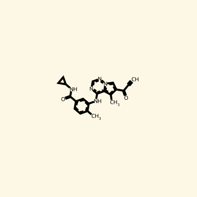 C#CC(=O)c1cn2ncnc(Nc3cc(C(=O)NC4CC4)ccc3C)c2c1C